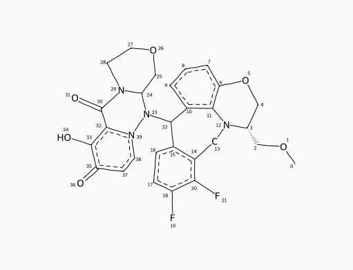 COC[C@H]1COc2cccc3c2N1Cc1c(ccc(F)c1F)C3N1C2COCCN2C(=O)c2c(O)c(=O)ccn21